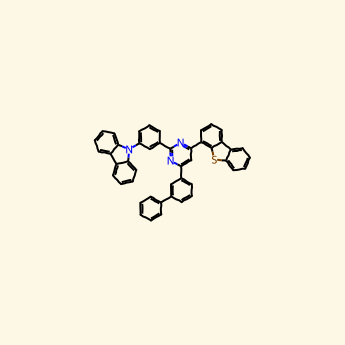 c1ccc(-c2cccc(-c3cc(-c4cccc5c4sc4ccccc45)nc(-c4cccc(-n5c6ccccc6c6ccccc65)c4)n3)c2)cc1